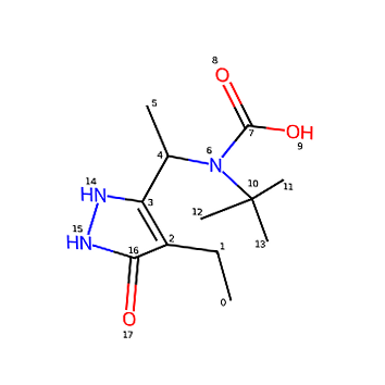 CCc1c(C(C)N(C(=O)O)C(C)(C)C)[nH][nH]c1=O